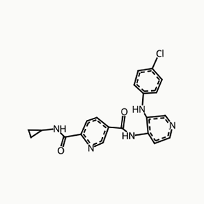 O=C(Nc1ccncc1Nc1ccc(Cl)cc1)c1ccc(C(=O)NC2CC2)nc1